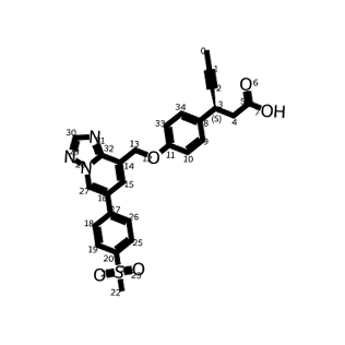 CC#C[C@@H](CC(=O)O)c1ccc(OCc2cc(-c3ccc(S(C)(=O)=O)cc3)cn3ncnc23)cc1